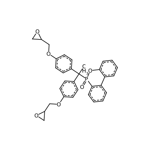 CC(c1ccc(OCC2CO2)cc1)(c1ccc(OCC2CO2)cc1)P1(=O)Oc2ccccc2-c2ccccc21